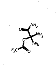 CCCCC(N)(OC(=O)C(F)(F)F)C(N)=O